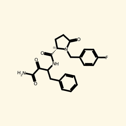 NC(=O)C(=O)C(Cc1ccccc1)NC(=O)[C@@H]1CCC(=O)N1Cc1ccc(F)cc1